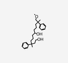 COCC(C)(CCCC(O)CCCC(C)(CCO)c1ccccc1)c1ccccc1